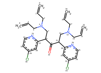 C=CCN(CC=C)CC(C(=O)C(CN(CC=C)CC=C)c1cc(Cl)ccn1)c1cc(Cl)ccn1